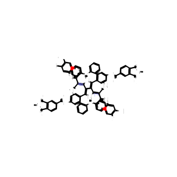 CN1C(=O)c2ccc(C(=O)Oc3ccc(-c4c5/c(=C(\C#N)c6cnc7cc(Cl)c(Cl)cc7n6)n(B(c6ccccc6)c6ccccc6)c(-c6ccc(OC(=O)c7ccc8c(c7)C(=O)N(C)C8=O)cc6)c5/c(=C(\C#N)c5cnc6cc(Cl)c(Cl)cc6n5)n4B(c4ccccc4)c4ccccc4)cc3)cc2C1=O